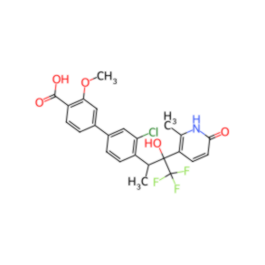 COc1cc(-c2ccc(C(C)C(O)(c3ccc(=O)[nH]c3C)C(F)(F)F)c(Cl)c2)ccc1C(=O)O